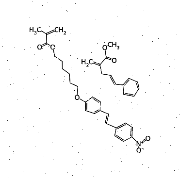 C=C(C)C(=O)OCCCCCCOc1ccc(C=Cc2ccc([N+](=O)[O-])cc2)cc1.C=C(CC=Cc1ccccc1)C(=O)OC